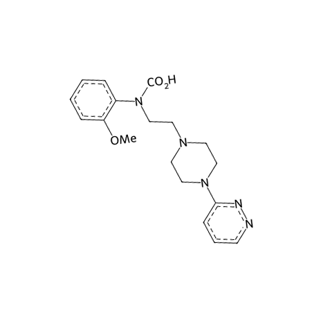 COc1ccccc1N(CCN1CCN(c2cccnn2)CC1)C(=O)O